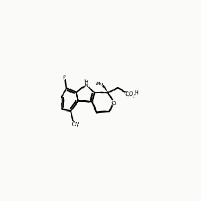 CCC(C)[C@@]1(CC(=O)O)OCCc2c1[nH]c1c(F)ccc(C#N)c21